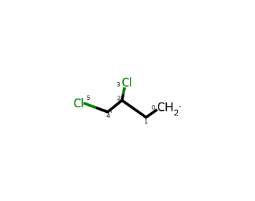 [CH2]CC(Cl)[CH]Cl